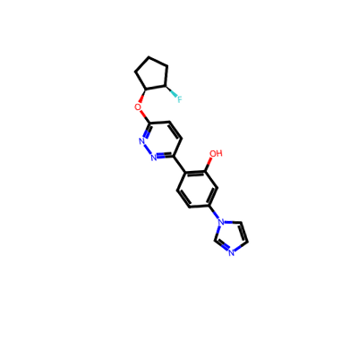 Oc1cc(-n2ccnc2)ccc1-c1ccc(O[C@H]2CCC[C@H]2F)nn1